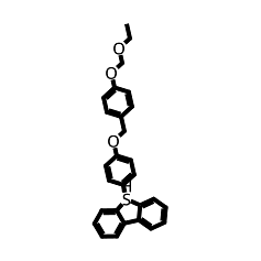 CCOCOc1ccc(COc2ccc([SH]3c4ccccc4-c4ccccc43)cc2)cc1